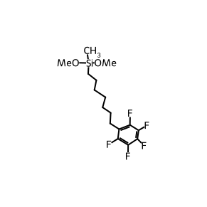 CO[Si](C)(CCCCCCCc1c(F)c(F)c(F)c(F)c1F)OC